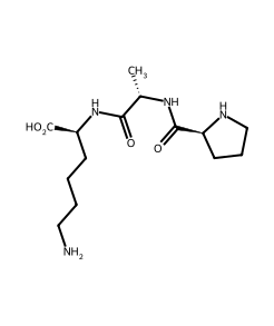 C[C@H](NC(=O)[C@@H]1CCCN1)C(=O)N[C@@H](CCCCN)C(=O)O